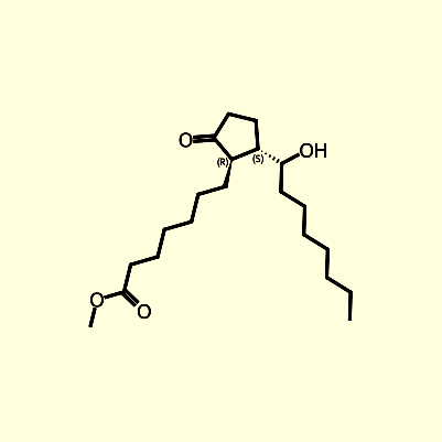 CCCCCCCC(O)[C@H]1CCC(=O)[C@@H]1CCCCCCC(=O)OC